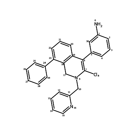 Nc1cccc(C2=C(Cl)N(Cc3ccccn3)Cc3c2cccc3-c2ccccc2)c1